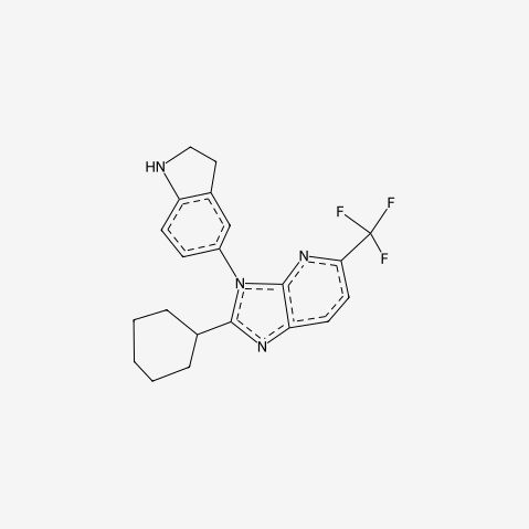 FC(F)(F)c1ccc2nc(C3CCCCC3)n(-c3ccc4c(c3)CCN4)c2n1